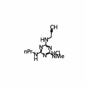 C#CCNc1nc(NC)nc(NCCC)n1.Cl